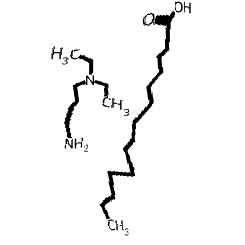 CCCCCCCCCCCCCC(=O)O.CCN(CC)CCCN